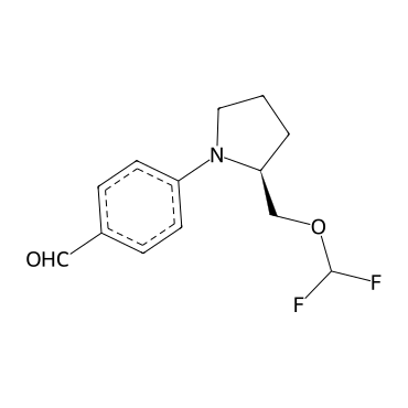 O=Cc1ccc(N2CCC[C@H]2COC(F)F)cc1